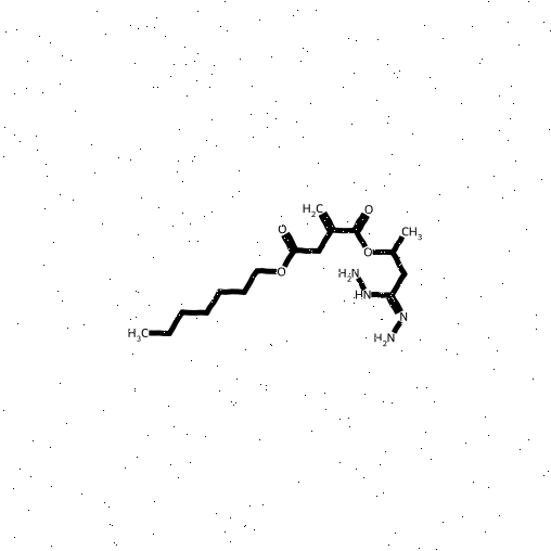 C=C(CC(=O)OCCCCCCC)C(=O)OC(C)C/C(=N/N)NN